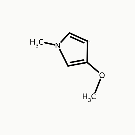 COc1[c]cn(C)c1